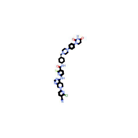 N#Cc1ccc(N2CCc3c(ncnc3Nc3ccc(C(=O)N[C@H]4CC[C@H](CN5CCN(c6ccc(N7CCC(=O)NC7=O)cc6)CC5)CC4)c(F)n3)C2)nc1Cl